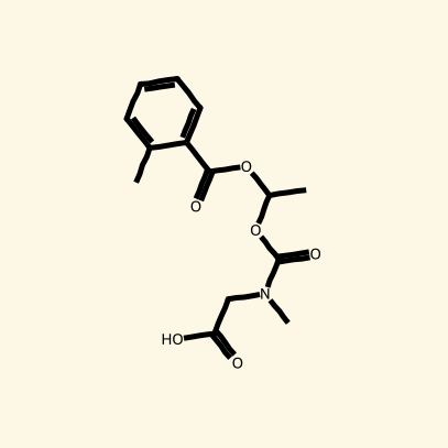 Cc1ccccc1C(=O)OC(C)OC(=O)N(C)CC(=O)O